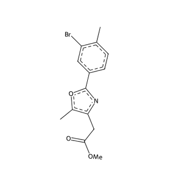 COC(=O)Cc1nc(-c2ccc(C)c(Br)c2)oc1C